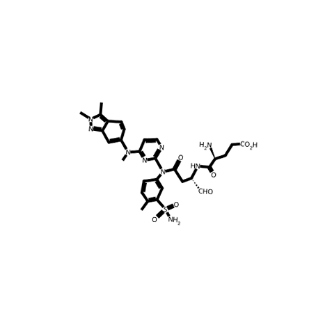 Cc1ccc(N(C(=O)C[C@@H](C=O)NC(=O)[C@@H](N)CCC(=O)O)c2nccc(N(C)c3ccc4c(C)n(C)nc4c3)n2)cc1S(N)(=O)=O